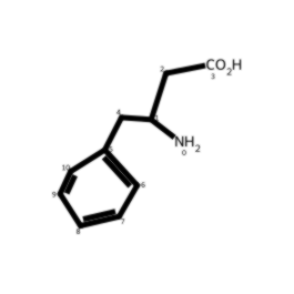 NC(CC(=O)O)Cc1ccccc1